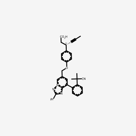 CC#C[C@@H](CC(=O)O)c1ccc(OCc2cc(-c3ccccc3C(C)(C)C#N)c3nc(C(C)C)nn3c2)cc1